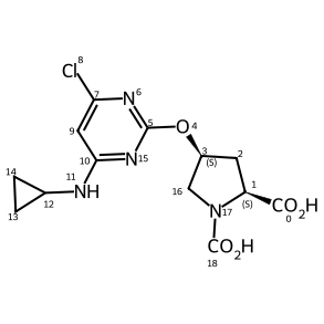 O=C(O)[C@@H]1C[C@H](Oc2nc(Cl)cc(NC3CC3)n2)CN1C(=O)O